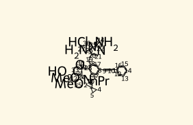 CCC[N+]1(CC2CC2)c2cc(C#Cc3ccccc3)cc(Cc3cnc(N)nc3N)c2C(=O)C(OC)(C(=O)O)C1OC.Cl